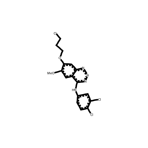 COc1cc2c(Nc3ccc(Cl)c(Cl)c3)nnnc2cc1OCCCCl